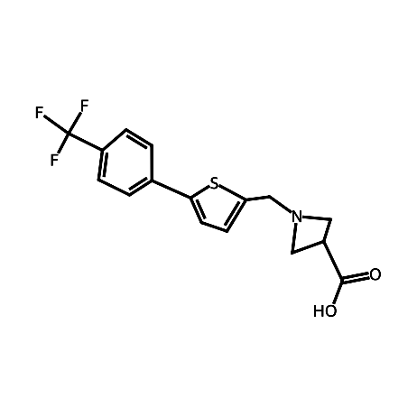 O=C(O)C1CN(Cc2ccc(-c3ccc(C(F)(F)F)cc3)s2)C1